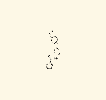 CCCOc1ccc(CN2CCC(NC(=O)c3ccccc3)CC2)cc1